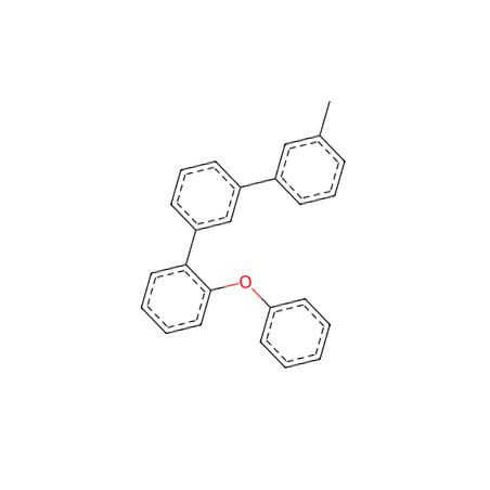 Cc1cccc(-c2cccc(-c3ccccc3Oc3ccccc3)c2)c1